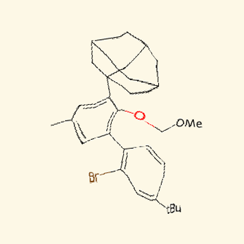 COCOc1c(-c2ccc(C(C)(C)C)cc2Br)cc(C)cc1C12CC3CC(CC(C3)C1)C2